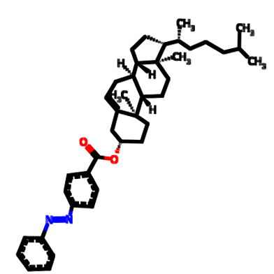 CC(C)CCC[C@@H](C)[C@H]1CC[C@H]2[C@@H]3CC=C4C[C@@H](OC(=O)c5ccc(/N=N/c6ccccc6)cc5)CC[C@]4(C)[C@H]3CC[C@]12C